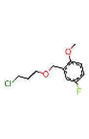 COc1ccc(F)cc1COCCCCl